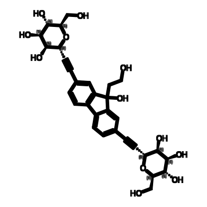 OCCC1(O)c2cc(C#C[C@H]3O[C@H](CO)[C@@H](O)[C@H](O)[C@@H]3O)ccc2-c2ccc(C#C[C@H]3O[C@H](CO)[C@@H](O)[C@H](O)[C@@H]3O)cc21